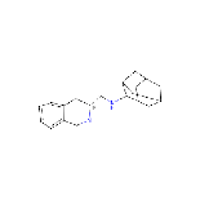 c1ccc2c(c1)CN[C@@H](CNC1C3CC4CC(C3)CC1C4)C2